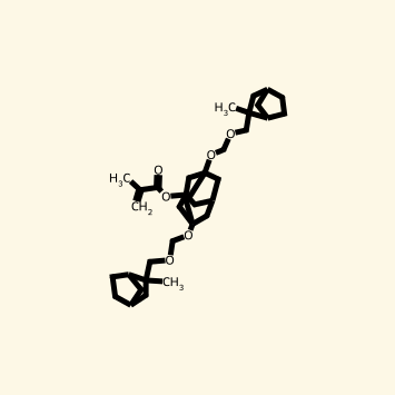 C=C(C)C(=O)OC12CC3CC(OCOCC4(C)CC5CCC4C5)(CC(OCOCC4(C)CC5CCC4C5)(C3)C1)C2